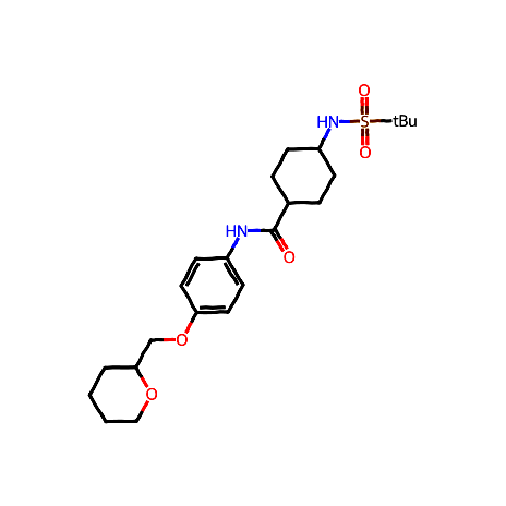 CC(C)(C)S(=O)(=O)NC1CCC(C(=O)Nc2ccc(OCC3CCCCO3)cc2)CC1